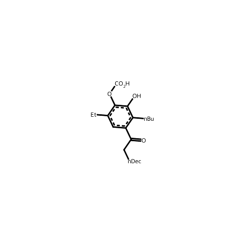 CCCCCCCCCCCC(=O)c1cc(CC)c(OC(=O)O)c(O)c1CCCC